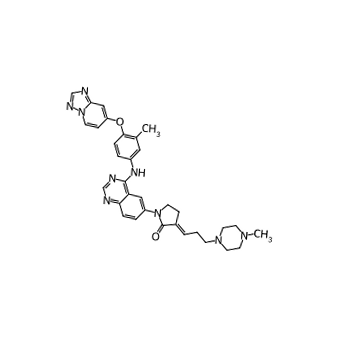 Cc1cc(Nc2ncnc3ccc(N4CC/C(=C\CCN5CCN(C)CC5)C4=O)cc23)ccc1Oc1ccn2ncnc2c1